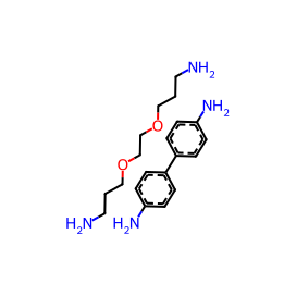 NCCCOCCOCCCN.Nc1ccc(-c2ccc(N)cc2)cc1